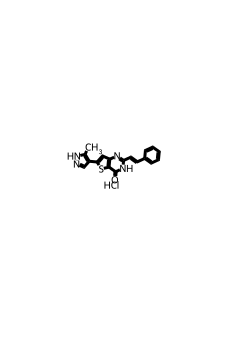 Cc1[nH]ncc1-c1cc2nc(C=Cc3ccccc3)[nH]c(=O)c2s1.Cl